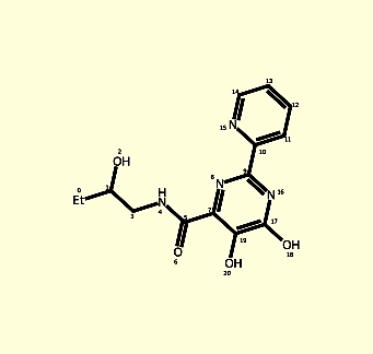 CCC(O)CNC(=O)c1nc(-c2ccccn2)nc(O)c1O